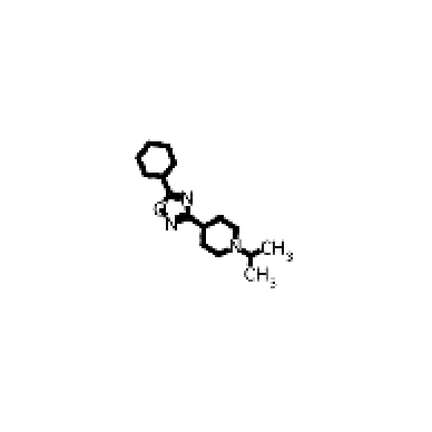 CC(C)N1CCC(c2noc(C3CCCCC3)n2)CC1